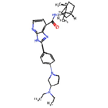 CCN(CC)C1CCN(c2ccc(-c3nc4c(C(=O)N[C@H]5C[C@H]6CC[C@]5(C)C6(C)C)ccnc4[nH]3)cc2)C1